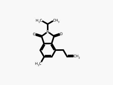 C=CCc1cc(C)cc2c1C(=O)N(C(C)C)C2=O